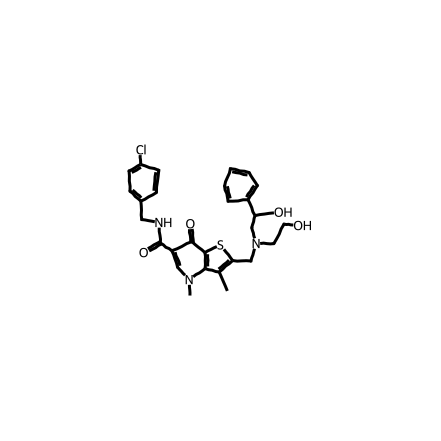 Cc1c(CN(CCO)CC(O)c2ccccc2)sc2c(=O)c(C(=O)NCc3ccc(Cl)cc3)cn(C)c12